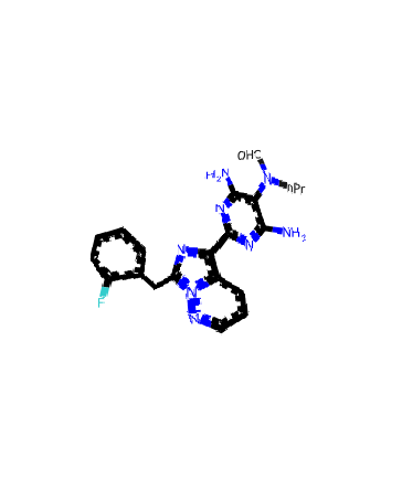 CCCN(C=O)c1c(N)nc(-c2nc(Cc3ccccc3F)n3ncccc23)nc1N